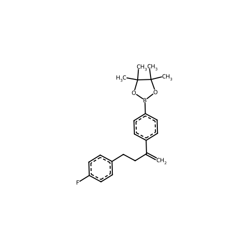 C=C(CCc1ccc(F)cc1)c1ccc(B2OC(C)(C)C(C)(C)O2)cc1